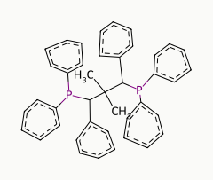 CC(C)(C(c1ccccc1)P(c1ccccc1)c1ccccc1)C(c1ccccc1)P(c1ccccc1)c1ccccc1